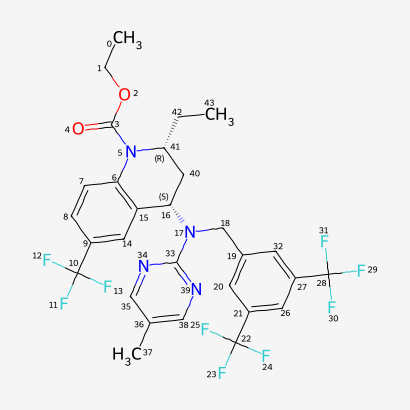 CCOC(=O)N1c2ccc(C(F)(F)F)cc2[C@@H](N(Cc2cc(C(F)(F)F)cc(C(F)(F)F)c2)c2ncc(C)cn2)C[C@H]1CC